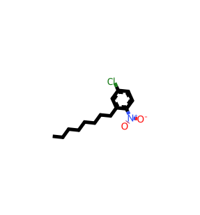 CCCCCCCCc1cc(Cl)ccc1[N+](=O)[O-]